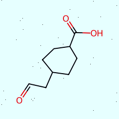 O=CCC1CCC(C(=O)O)CC1